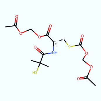 CC(=O)OCOC(=O)SC[C@H](NC(=O)C(C)(C)S)C(=O)OCOC(C)=O